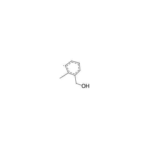 Cc1[c]cccc1CO